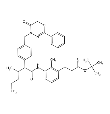 CCCC(C)C(C(=O)Nc1cccc(CCC(=O)OC(C)(C)C)c1C)c1ccc(CN2N=C(c3ccccc3)OCC2=O)cc1